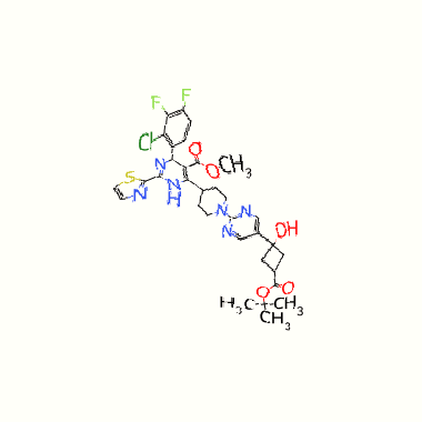 COC(=O)C1=C(C2CCN(c3ncc(C4(O)CC(C(=O)OC(C)(C)C)C4)cn3)CC2)NC(c2nccs2)=NC1c1ccc(F)c(F)c1Cl